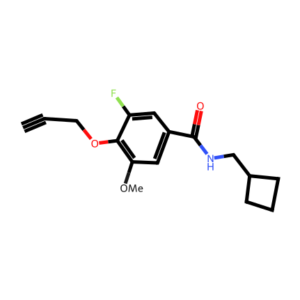 C#CCOc1c(F)cc(C(=O)NCC2CCC2)cc1OC